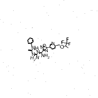 C=C(/N=C(N)\N=C(/N)c1noc(-c2ccc(COC(C)C(F)(F)F)nc2)n1)Nc1ccccc1